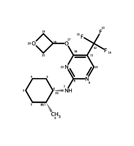 C[C@@H]1CCCC[C@@H]1Nc1ncc(C(F)(F)F)c(OC2COC2)n1